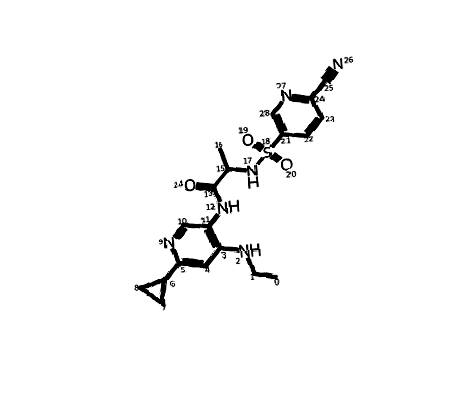 CCNc1cc(C2CC2)ncc1NC(=O)C(C)NS(=O)(=O)c1ccc(C#N)nc1